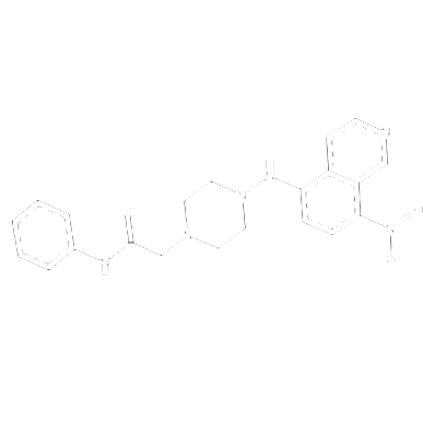 O=C(CN1CCN(Nc2ccc([N+](=O)[O-])c3cnccc23)CC1)Nc1ccccc1